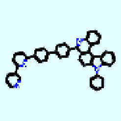 c1ccc(-n2c3ccccc3c3c4c(ccc32)c(-c2ccc(-c3ccc(-c5cccc(-c6cccnc6)n5)cc3)cc2)nc2ccccc24)cc1